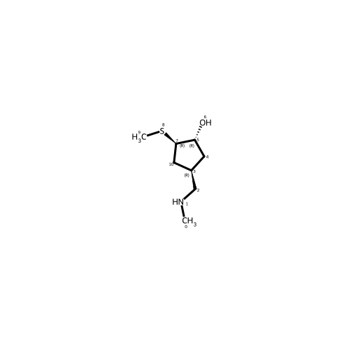 CNC[C@@H]1C[C@@H](O)[C@H](SC)C1